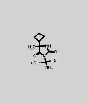 CCCCCCCCCCC(N)(CCCCCCCCCC)N1C(=O)NC(C)(C2CCC2)C1=O